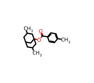 Cc1ccc(C(=O)OC23CC(C)CC(CC(C)C2)C3)cc1